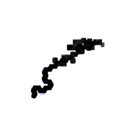 CC/C=C\C/C=C\C/C=C\C/C=C\C/C=C\CCCC(=O)NCCNC(=O)OC[C@H]1OC(n2cnc(N)nc2=O)[C@H](O)[C@@H]1O